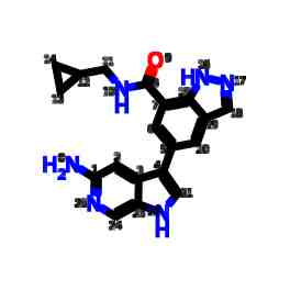 Nc1cc2c(-c3cc(C(=O)NCC4CC4)c4[nH]ncc4c3)c[nH]c2cn1